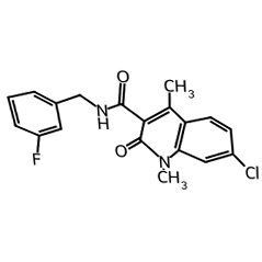 Cc1c(C(=O)NCc2cccc(F)c2)c(=O)n(C)c2cc(Cl)ccc12